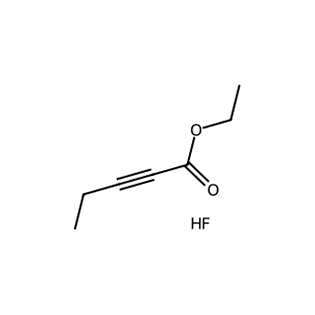 CCC#CC(=O)OCC.F